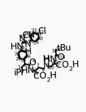 CC(C)CC(C(=O)NC(CCNCC(NC(=O)CC(C)(C)C)C(=O)O)C(=O)O)c1ccc(NC(=NC#N)Nc2ccc(Cl)cc2)cc1